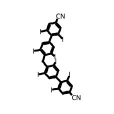 N#Cc1cc(I)c(-c2cc(I)c(Cc3c(I)cc(-c4c(I)cc(C#N)cc4I)cc3I)c(I)c2)c(I)c1